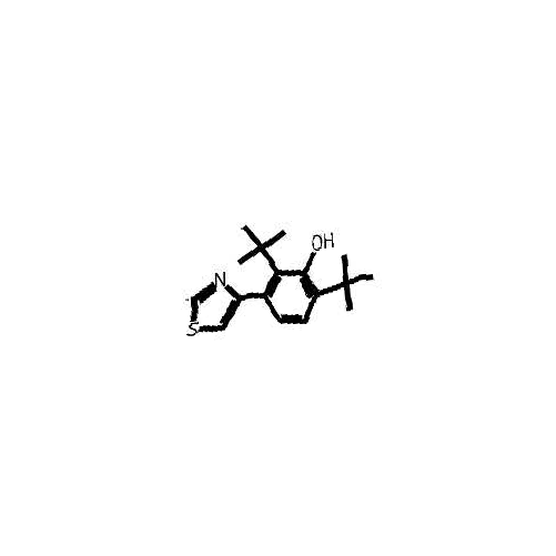 CC(C)(C)c1ccc(-c2cs[c]n2)c(C(C)(C)C)c1O